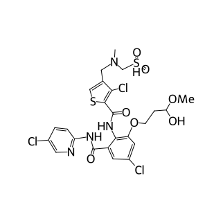 COC(O)CCOc1cc(Cl)cc(C(=O)Nc2ccc(Cl)cn2)c1NC(=O)c1scc(CN(C)C[SH](=O)=O)c1Cl